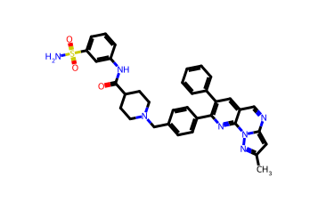 Cc1cc2ncc3cc(-c4ccccc4)c(-c4ccc(CN5CCC(C(=O)Nc6cccc(S(N)(=O)=O)c6)CC5)cc4)nc3n2n1